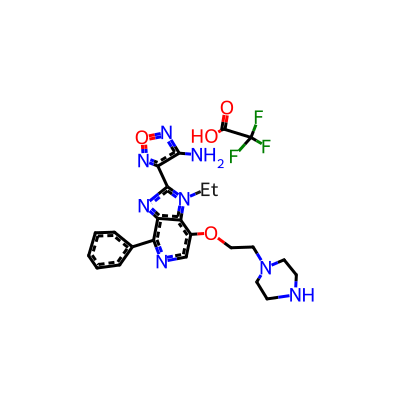 CCn1c(-c2nonc2N)nc2c(-c3ccccc3)ncc(OCCN3CCNCC3)c21.O=C(O)C(F)(F)F